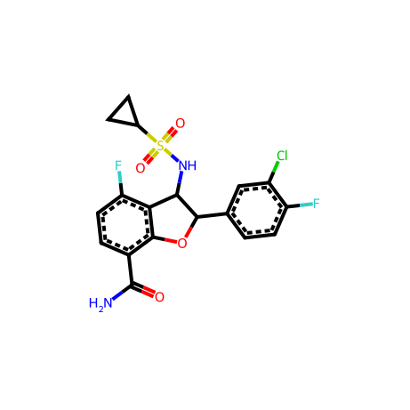 NC(=O)c1ccc(F)c2c1OC(c1ccc(F)c(Cl)c1)C2NS(=O)(=O)C1CC1